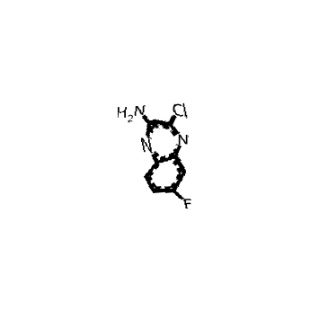 Nc1nc2ccc(F)cc2nc1Cl